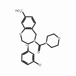 O=C(O)c1ccc2c(c1)OC[C@H](c1cccc(Cl)c1)N(C(=O)N1CCOCC1)C2